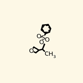 CC(COS(=O)(=O)c1ccccc1)C1COC1